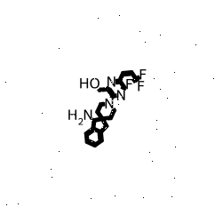 N[C@@H]1c2ccccc2CC12CCN(c1ncc(/C=C\C(F)(F)F)nc1CO)CC2